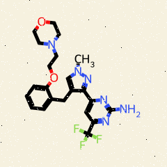 Cn1cc(Cc2ccccc2OCCN2CCOCC2)c(-c2cc(C(F)(F)F)nc(N)n2)n1